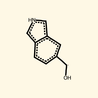 O[CH]c1ccc2c[nH]cc2c1